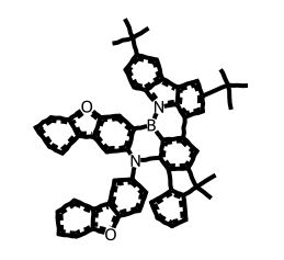 CC(C)(C)c1ccc2c(c1)c1cc(C(C)(C)C)cc3c1n2B1c2cc4oc5ccccc5c4cc2N(c2ccc4oc5ccccc5c4c2)c2c1c-3cc1c2-c2ccccc2C1(C)C